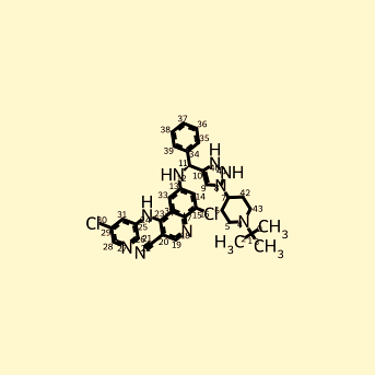 CC(C)(C)N1CCC(N2C=C([C@@H](Nc3cc(Cl)c4ncc(C#N)c(Nc5cncc(Cl)c5)c4c3)c3ccccc3)NN2)CC1